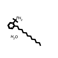 CCCCCCCCCCCCc1ccccc1C(C)(C)P.O